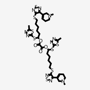 Cc1nnc(SC(CCCCCSc2nsnc2C2=CCCN(C)C2)OC(=O)C(=O)OC(CCCCCSc2nsnc2C2=CCCN(C)C2)Sc2nnc(C)s2)s1